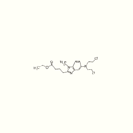 CCOC(=O)CCCc1nc2cc(N(CCCl)CCCl)ccc2n1C